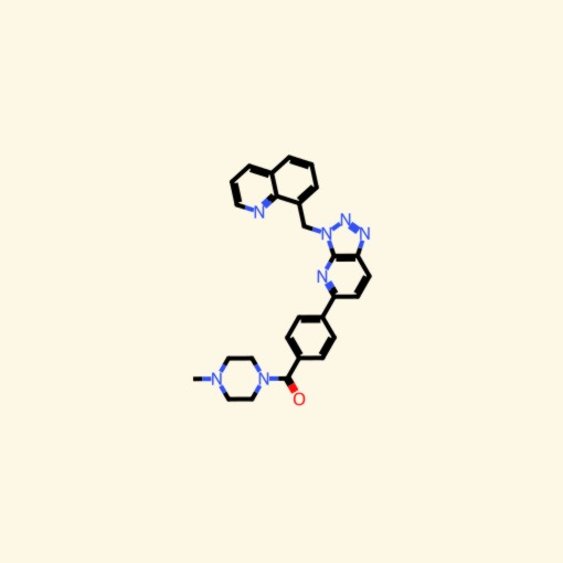 CN1CCN(C(=O)c2ccc(-c3ccc4nnn(Cc5cccc6cccnc56)c4n3)cc2)CC1